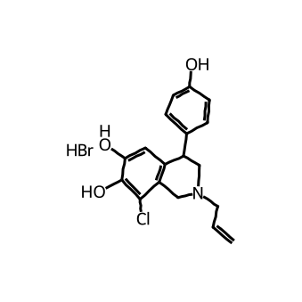 Br.C=CCN1Cc2c(cc(O)c(O)c2Cl)C(c2ccc(O)cc2)C1